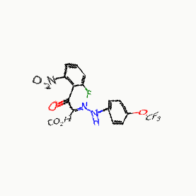 O=C(O)/C(=N\Nc1ccc(OC(F)(F)F)cc1)C(=O)c1c(F)cccc1[N+](=O)[O-]